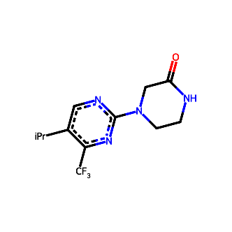 CC(C)c1cnc(N2CCNC(=O)C2)nc1C(F)(F)F